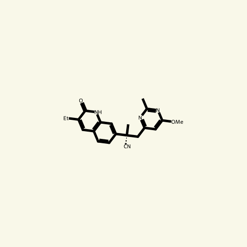 CCc1cc2ccc([C@](C)(C#N)Cc3cc(OC)nc(C)n3)cc2[nH]c1=O